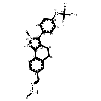 CN/N=C/c1ccc2c(c1)CCc1c-2nn(C)c1-c1ccc(OC(F)(F)F)cc1